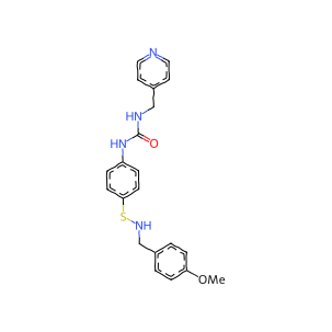 COc1ccc(CNSc2ccc(NC(=O)NCc3ccncc3)cc2)cc1